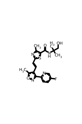 Cc1nc(/C=C/c2c(-c3ccc(F)cn3)noc2C)sc1C(=O)NC(C)(C)CO